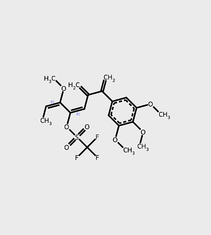 C=C(/C=C(OS(=O)(=O)C(F)(F)F)\C(=C/C)OC)C(=C)c1cc(OC)c(OC)c(OC)c1